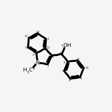 Cn1cc(C(O)c2ccccc2)c2ccccc21